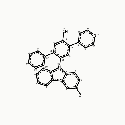 Cc1ccc2c(c1)c1ccccc1n2-c1cc(-c2ccncc2)c(C#N)cc1-c1ccccc1